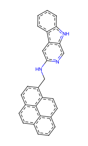 c1cc2ccc3ccc(CNc4cc5c(cn4)[nH]c4ccccc45)c4ccc(c1)c2c34